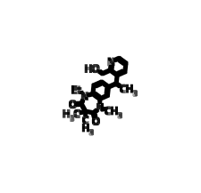 CCN1C(=O)C(C)(C)C(=O)N(C)c2cc([C](C)c3cccnc3CO)ccc21